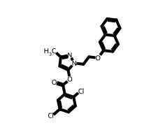 Cc1cc(OC(=O)c2cc(Cl)ccc2Cl)n(CCOc2ccc3ccccc3c2)n1